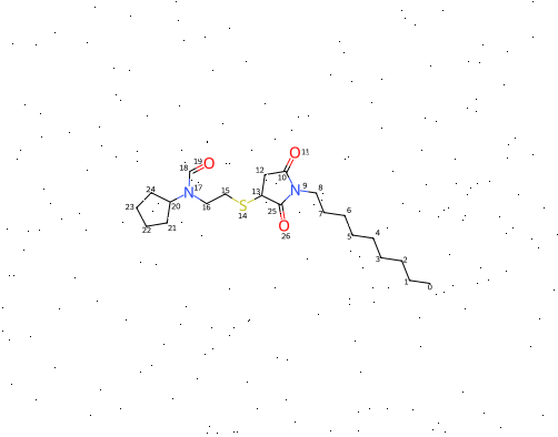 CCCCCCCCCN1C(=O)CC(SCCN(C=O)C2CCCC2)C1=O